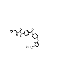 O=C(NCC1CC1)Nc1ccc(C(=O)N2CCN(Cc3ccc(C(=O)O)s3)CC2)cc1